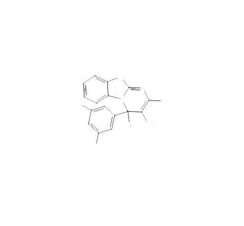 CC1=C(C#N)C(c2cc(C(F)(F)F)cc(C(F)(F)F)c2)(C(C)C)N2C(=N1)Oc1ccccc12